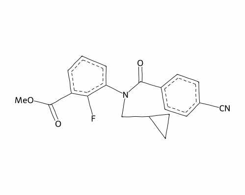 COC(=O)c1cccc(N(CC2CC2)C(=O)c2ccc(C#N)cc2)c1F